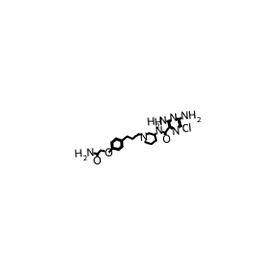 NC(=O)COc1ccc(CCCN2CCCC(NC(=O)c3nc(Cl)c(N)nc3N)C2)cc1